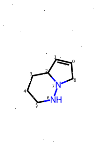 C1=CC2CCCNN2C1